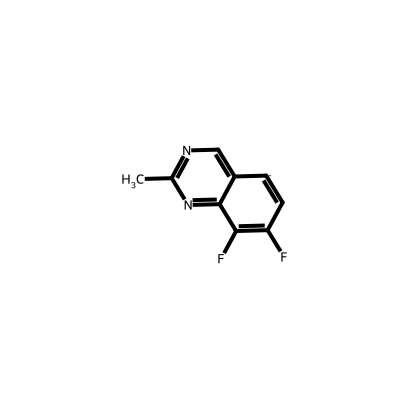 Cc1ncc2[c]cc(F)c(F)c2n1